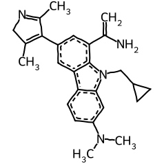 C=C(N)c1cc(C2=C(C)CN=C2C)cc2c3ccc(N(C)C)cc3n(CC3CC3)c12